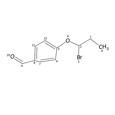 CCC(Br)Oc1ccc(C=O)cc1